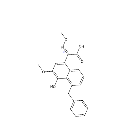 CO/N=C(\C(=O)O)c1cc(OC)c(O)c2c(Cc3ccccc3)cccc12